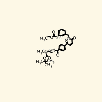 CCOC(=O)Nc1cccc(Cn2nc(-c3ccc(C(=O)NCCN(C)C(=O)OC(C)(C)C)cc3)ccc2=O)c1